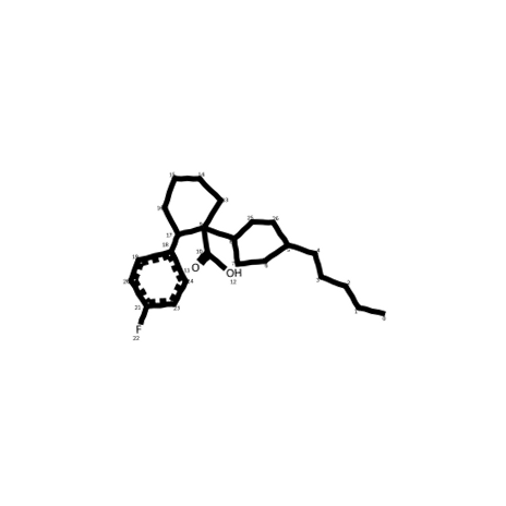 CCCCCC1CCC(C2(C(=O)O)CCCCC2c2ccc(F)cc2)CC1